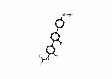 CCCCCCCc1ccc(-c2ccc(-c3ccc(OC(F)F)c(F)c3)c(F)c2)cc1